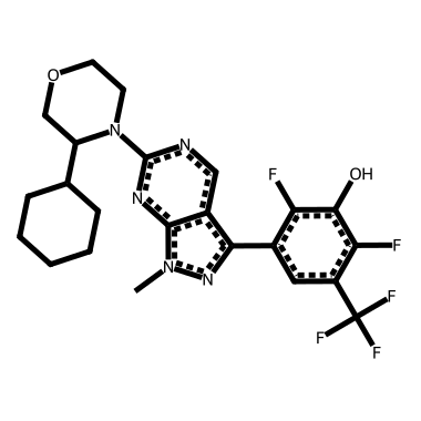 Cn1nc(-c2cc(C(F)(F)F)c(F)c(O)c2F)c2cnc(N3CCOCC3C3CCCCC3)nc21